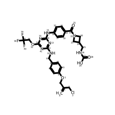 C=C(CCl)COc1ccc(CNc2nc(Nc3ccc(C(=O)N4CC(CNC(=O)O)C4)cc3)nc(OCC(F)(F)F)n2)cc1